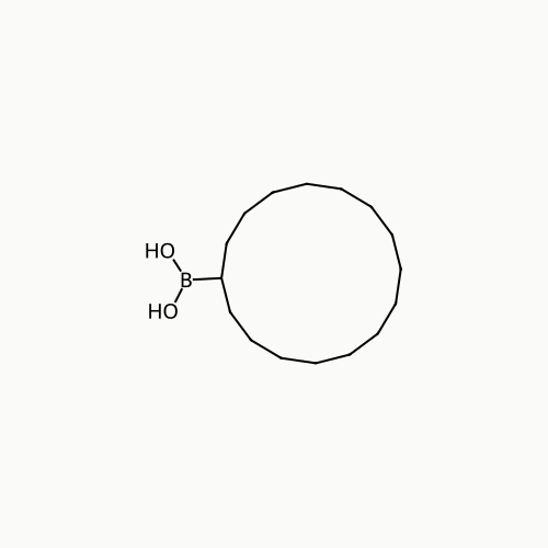 OB(O)C1CCCCCCCCCCCCCCC1